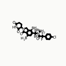 Bc1cc(C(B)(B)N(B)C(=O)C(F)(F)c2ccc(Cl)cc2)c(B)c2c1C(=O)N(C1CCC(=O)NC1=O)C2